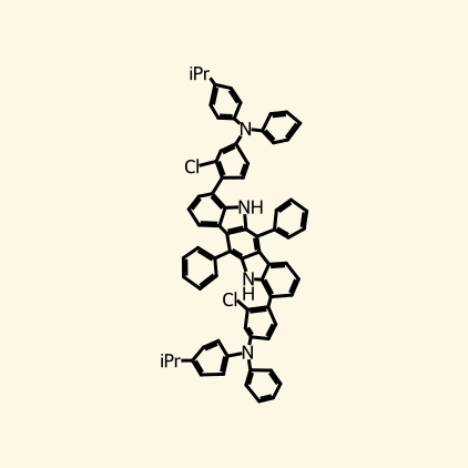 CC(C)c1ccc(N(c2ccccc2)c2ccc(-c3cccc4c3[nH]c3c(-c5ccccc5)c5c([nH]c6c(-c7ccc(N(c8ccccc8)c8ccc(C(C)C)cc8)cc7Cl)cccc65)c(-c5ccccc5)c34)c(Cl)c2)cc1